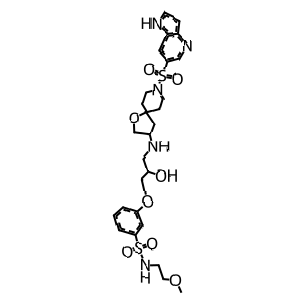 COCCNS(=O)(=O)c1cccc(OCC(O)CNC2COC3(CCN(S(=O)(=O)c4cnc5cc[nH]c5c4)CC3)C2)c1